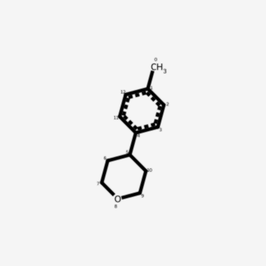 Cc1ccc(C2CCOCC2)cc1